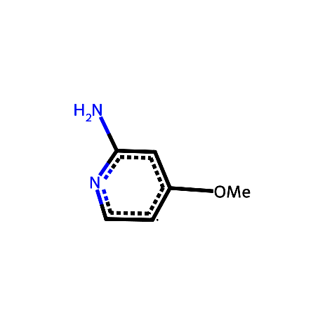 COc1[c]cnc(N)c1